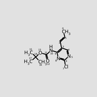 C/C=C/c1cnc(Cl)nc1NC(=O)OC(C)(C)C